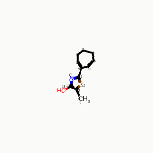 Cc1sc(C2=CCCCC=C2)nc1O